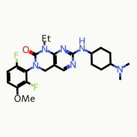 CCN1C(=O)N(c2c(F)ccc(OC)c2F)Cc2cnc(NC3CCC(N(C)C)CC3)nc21